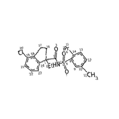 CCC1(C(=O)NS(=O)(=O)c2cc(C)ccc2C(C)C)CCc2c(Cl)cccc21